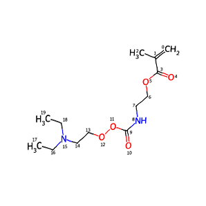 C=C(C)C(=O)OCCNC(=O)OOCCN(CC)CC